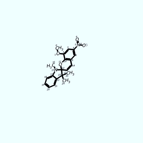 COc1cc([N+](=O)[O-])cc2c1OC1(C=C2)N(C)c2ccccc2C1(C)C